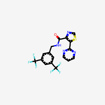 O=C(NCc1cc(C(F)(F)F)cc(C(F)(F)F)c1)c1ncsc1-c1ncccn1